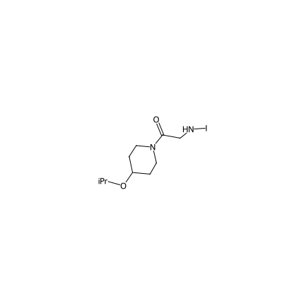 CC(C)OC1CCN(C(=O)CNI)CC1